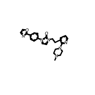 CN1CCN(c2ncccc2CCn2ccn(-c3ccc(-c4ncco4)cc3)c2=O)CC1